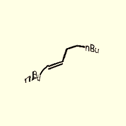 CCCC/C=C/CCCCC